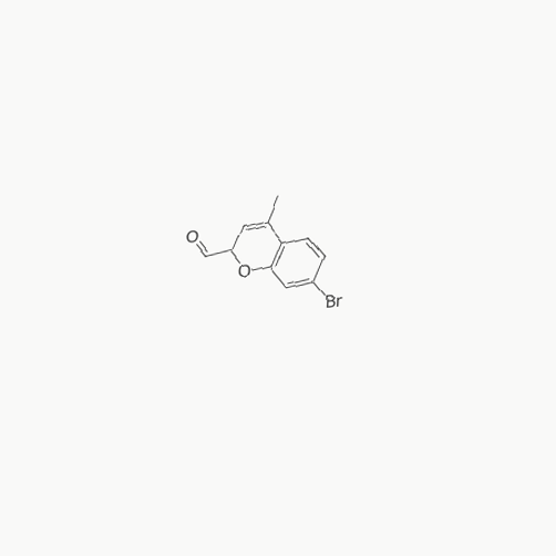 CC1=CC(C=O)Oc2cc(Br)ccc21